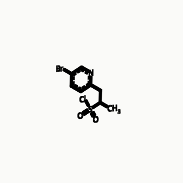 CC(Cc1ccc(Br)cn1)S(=O)(=O)Cl